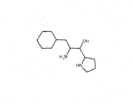 N[C](CC1CCCCC1)C(O)C1CCCN1